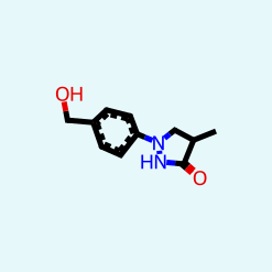 CC1CN(c2ccc(CO)cc2)NC1=O